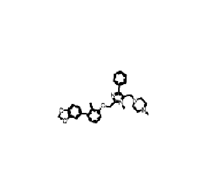 Cc1c(OCc2nc(-c3ccccc3)c(CN3CCN(C)CC3)n2C)cccc1-c1ccc2c(c1)OCO2